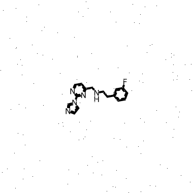 Fc1cccc(CCNCc2ccnc(-n3ccnc3)n2)c1